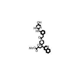 COC(=O)C(C)CC(c1cnc2ccccc2c1)C1CCN(C(=O)Cc2cccc(NC3=NC=C(O)CN3)c2)CC1